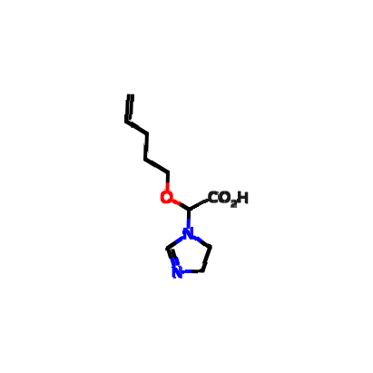 C=CCCCOC(C(=O)O)N1C=NCC1